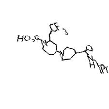 CC(C)CNC(=O)C1CCN(C2CCCN(C(=O)O)C(CC(F)(F)F)C2)CC1